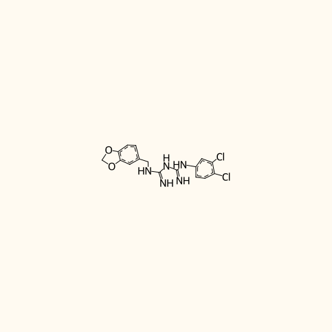 N=C(NCc1ccc2c(c1)OCO2)NC(=N)Nc1ccc(Cl)c(Cl)c1